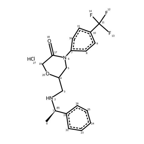 C[C@@H](NCC1CN(c2ccc(C(F)(F)F)cc2)C(=O)CO1)c1ccccc1.Cl